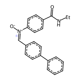 CCNC(=O)c1ccc(/[N+]([O-])=C\c2ccc(-c3ccccc3)cc2)cc1